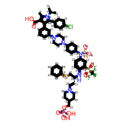 Cc1c(C(=O)O)c(-c2cccc(N3CCN(c4ccc(N(c5ccc(N[C@H](CCN6CCC(COP(=O)(O)O)CC6)CSc6ccccc6)c(S(=O)(=O)C(F)(F)F)c5)[SH](=O)=O)cc4)CC3)c2)c(-c2ccc(Cl)cc2)n1C(C)C